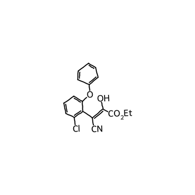 CCOC(=O)C(O)=C(C#N)c1c(Cl)cccc1Oc1ccccc1